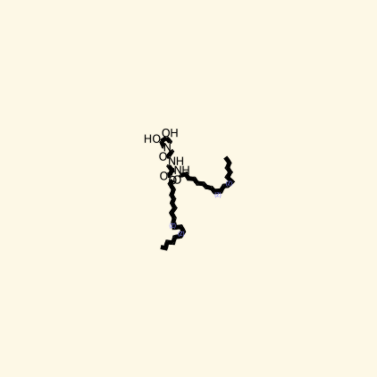 CCCCC/C=C\C/C=C\CCCCCCCCOC(=O)C(CNC(=O)CN1CC(O)C(O)C1)NC(=O)CCCCCCC/C=C\C/C=C\CCCCC